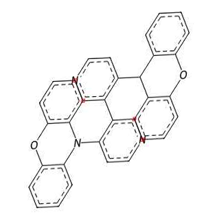 c1ccc2c(c1)Oc1ccccc1C2c1ccncc1-c1cnccc1N1c2ccccc2Oc2ccccc21